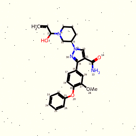 C=CC(O)N1CCC[C@@H](n2cc(C(N)=O)c(-c3ccc(Oc4ccccc4)c(OC)c3)n2)C1